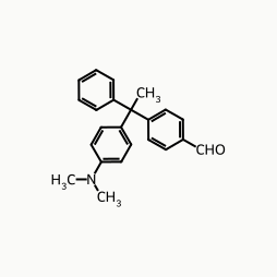 CN(C)c1ccc(C(C)(c2ccccc2)c2ccc(C=O)cc2)cc1